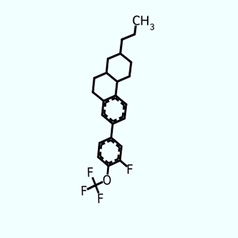 CCCC1CCC2c3ccc(-c4ccc(OC(F)(F)F)c(F)c4)cc3CCC2C1